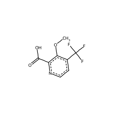 COc1c(C(F)(F)F)ccnc1C(=O)O